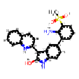 CS(=O)(=O)c1cccc(-c2ccc3[nH]c(O)c(-c4ccc5ccccc5n4)c3c2)c1N